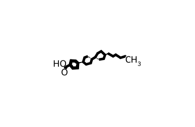 CCCCCC[C@H]1CC[C@H]([C@H]2CC[C@H](c3ccc(C(=O)O)cc3)CC2)CC1